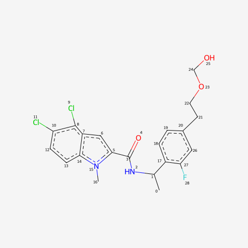 CC(NC(=O)c1cc2c(Cl)c(Cl)ccc2n1C)c1ccc(CCOCO)cc1F